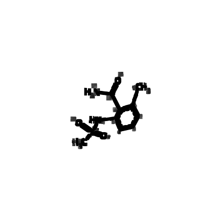 Cc1cccc(NS(C)(=O)=O)c1C(N)=O